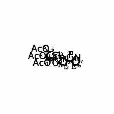 CC(=O)O[C@@H]1[C@@H](OC(C)=O)[C@H](OC(C)=O)CS[C@H]1Oc1ccc(-c2cccnc2F)nc1Cl